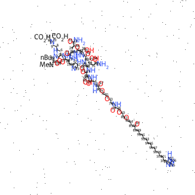 CCCC[C@H](NC(=O)[C@H](CCCCN(CC(=O)O)CC(=O)O)NC(=O)[C@H](CC1=CCC=N1)NC(=O)[C@H](CCC(N)=O)NC(=O)[C@H](CO)NC(=O)[C@H](CO)NC(=O)[C@H](CCC(N)=O)NC(=O)[C@@H](CO)NC(=O)CNC(=O)COCCOCCNC(=O)COCCOCCCC(=O)CCCCCCCCCCCCCCCc1nnn[nH]1)C(=O)NC